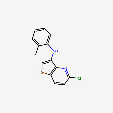 Cc1ccccc1Nc1csc2ccc(Cl)nc12